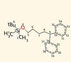 CC(C)(C)[Si](C)(C)OCCCCC(c1ccccc1)c1ccccc1